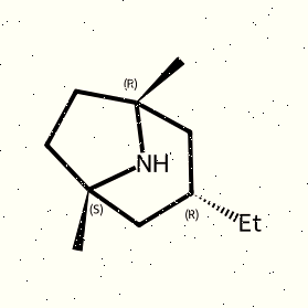 CC[C@@H]1C[C@]2(C)CC[C@](C)(C1)N2